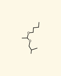 CCCCOC(C)OCC(C)C